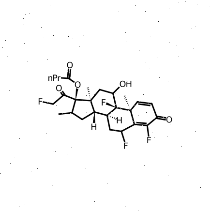 CCCC(=O)O[C@]1(C(=O)CF)C(C)C[C@H]2[C@@H]3CC(F)C4=C(F)C(=O)C=C[C@]4(C)[C@@]3(F)C(O)C[C@@]21C